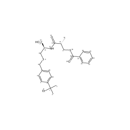 CCC(C)(C)c1ccc(CSC[C@H](NC(=O)[C@H](C)CSC(=O)c2ccccc2)C(=O)O)cc1